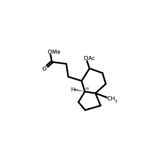 COC(=O)CCC1C(OC(C)=O)CCC2(C)CCC[C@@H]12